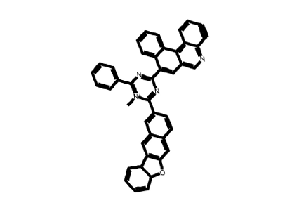 C[n+]1c(-c2ccccc2)nc(-c2cc3cnc4c#cccc4c3c3ccccc23)nc1-c1ccc2cc3c(cc2c1)C1C=CC=CC1O3